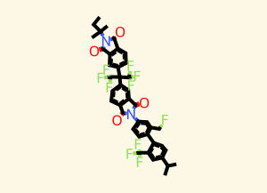 CCC(C)(C)N1C(=O)c2ccc(C(c3ccc4c(c3)C(=O)N(c3ccc(-c5ccc(C(C)C)cc5C(F)(F)F)c(CF)c3)C4=O)(C(F)(F)F)C(F)(F)F)cc2C1=O